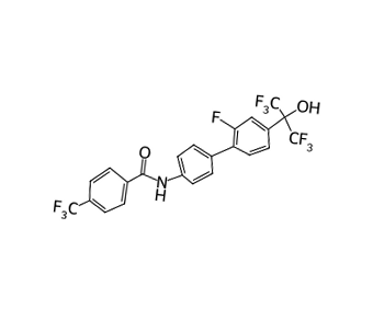 O=C(Nc1ccc(-c2ccc(C(O)(C(F)(F)F)C(F)(F)F)cc2F)cc1)c1ccc(C(F)(F)F)cc1